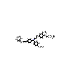 CSc1ccc(/C(=C\COc2ccc(OCC(=O)O)c(C)c2)c2ccc(C#CCN3CCOCC3)cc2)cc1